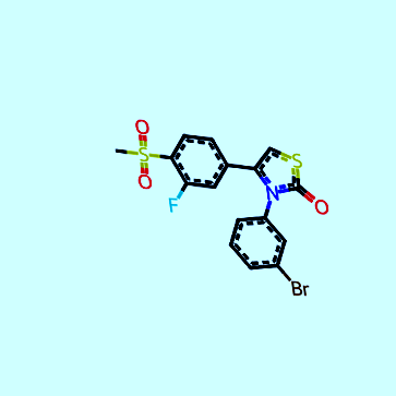 CS(=O)(=O)c1ccc(-c2csc(=O)n2-c2cccc(Br)c2)cc1F